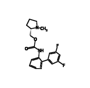 CN1CCC[C@H]1COC(=O)Nc1ccccc1-c1cc(F)cc(F)c1